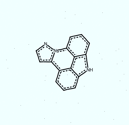 c1cc2[nH]c3cccc4c3c2c(c1)c1ccnn14